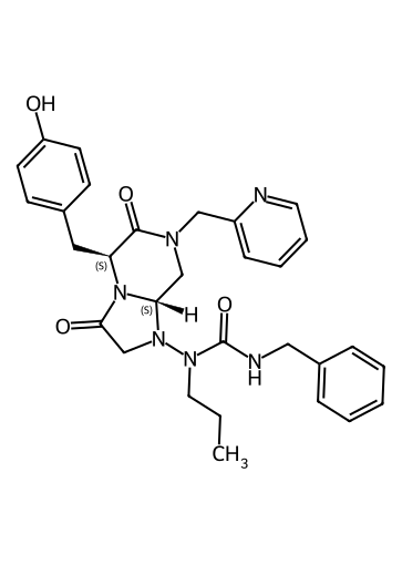 CCCN(C(=O)NCc1ccccc1)N1CC(=O)N2[C@@H](Cc3ccc(O)cc3)C(=O)N(Cc3ccccn3)C[C@@H]21